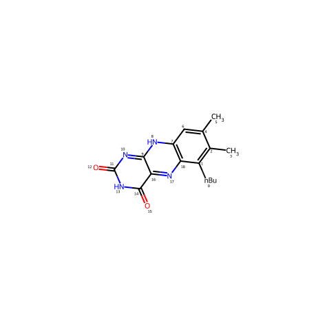 CCCCc1c(C)c(C)cc2[nH]c3nc(=O)[nH]c(=O)c-3nc12